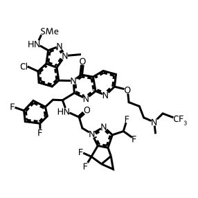 CSNc1nn(C)c2c(-n3c(C(Cc4cc(F)cc(F)c4)NC(=O)Cn4nc(C(F)F)c5c4C(F)(F)C4CC54)nc4nc(OCCCN(C)CC(F)(F)F)ccc4c3=O)ccc(Cl)c12